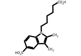 Cc1c(C)n(CCCCCC(=O)O)c2ccc(S(=O)(=O)O)cc12